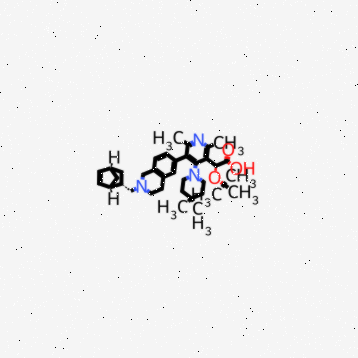 Cc1nc(C)c([C@H](OC(C)(C)C)C(=O)O)c(N2CCC(C)(C)CC2)c1-c1ccc2c(c1)CCN(C[C@H]1C[C@@H]3C=C[C@H]1C3)C2